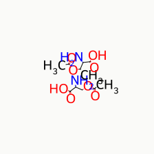 CC(=O)OC[C@H](N)C(=O)O.CC(=O)O[C@H](C)[C@H](N)C(=O)O